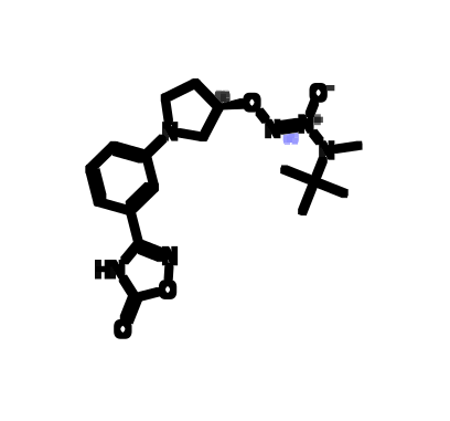 CN(/[N+]([O-])=N/O[C@@H]1CCN(c2cccc(-c3noc(=O)[nH]3)c2)C1)C(C)(C)C